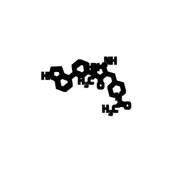 CC(=O)N1CCC(CC2C(=N)NC(C)(c3cccc(-c4cccc5[nH]ccc45)c3)C2=O)CC1